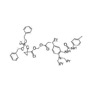 CCC(CC(=O)OCOC(=O)C1(OP(=O)(OCc2ccccc2)OCc2ccccc2)CC1)c1ccc(N(CC(C)C)CC(C)C)c(NC(=O)Nc2ccc(C)cc2)c1